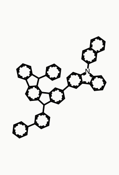 c1ccc(-c2cccc(C3c4ccc(-c5ccc6c(c5)c5ccccc5n6-c5ccc6ccccc6c5)cc4-c4c3ccc3c4C(c4ccccc4)c4ccccc4-3)c2)cc1